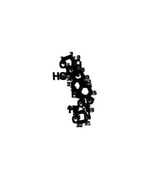 C[C@@H]1CCOC2[C@H]1C1(C)CCC34CC35CCC(OC3CN6CCO[C@H](CO3)C6)C(C)(C)[C@@H]5CCC4[C@]1(C)[C@H]2O